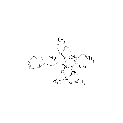 C=C[Si](C)(C)O[Si](CCC1CC2C=CC1C2)(O[Si](C)(C)C=C)O[Si](C)(C)C=C